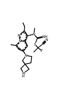 CCc1nn2c(C)cc(N3CCC4(CNC4)C3)cc2c1N(C)C(=N)SC(C)(F)C#N